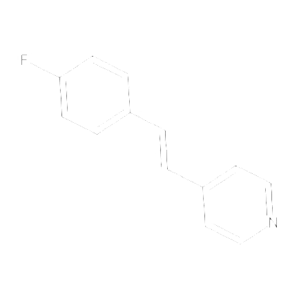 Fc1ccc(/C=C/c2ccncc2)cc1